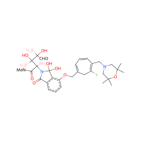 BC(O)(C=O)C(B)(O)C(B)(C(=O)NC)N1C(=O)c2cccc(OCC3=CC=CC(CN4CC(C)(C)OC(C)(C)C4)=C(F)C3)c2C1(O)O